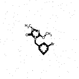 COc1nn(C)c(=O)n1Cc1cccc(Br)c1